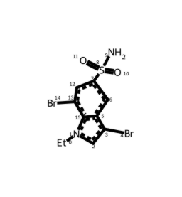 CCn1cc(Br)c2cc(S(N)(=O)=O)cc(Br)c21